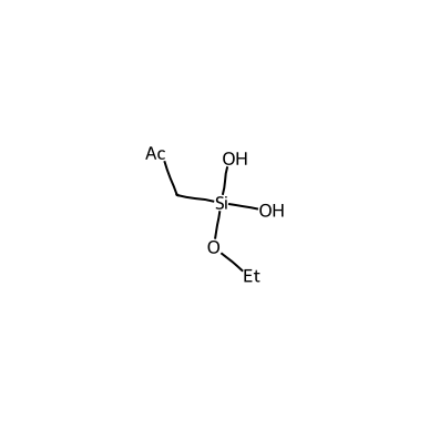 CCO[Si](O)(O)CC(C)=O